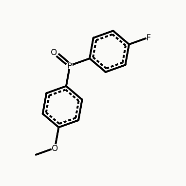 COc1ccc([P](=O)c2ccc(F)cc2)cc1